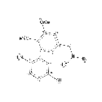 CCN(C)Cc1ccc(OC)c(OC)c1.Nc1ccc(S)cc1